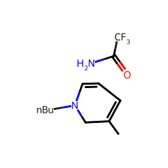 CCCCN1C=CC=C(C)C1.NC(=O)C(F)(F)F